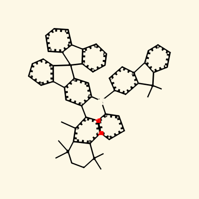 Cc1c(-c2cc3c(cc2N(c2ccccc2)c2ccc4c(c2)C(C)(C)c2ccccc2-4)C2(c4ccccc4-c4ccccc42)c2ccccc2-3)ccc2c1C(C)(C)CCC2(C)C